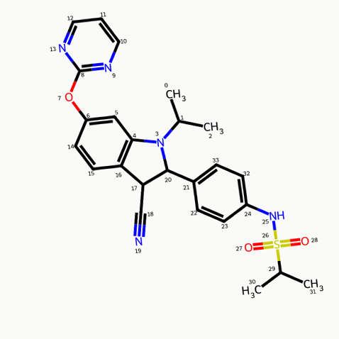 CC(C)N1c2cc(Oc3ncccn3)ccc2C(C#N)C1c1ccc(NS(=O)(=O)C(C)C)cc1